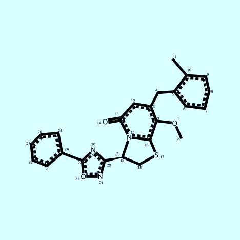 COc1c(Cc2ccccc2C)cc(=O)n2c1SC[C@H]2c1noc(-c2ccccc2)n1